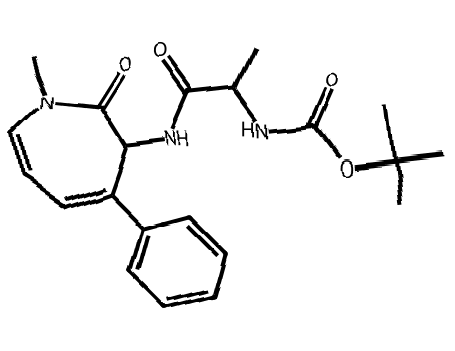 CC(NC(=O)OC(C)(C)C)C(=O)NC1C(=O)N(C)C=CC=C1c1ccccc1